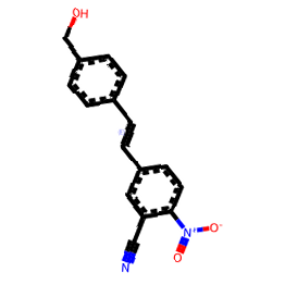 N#Cc1cc(/C=C/c2ccc(CO)cc2)ccc1[N+](=O)[O-]